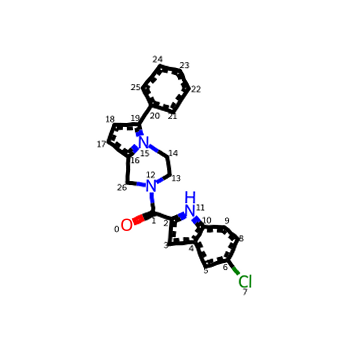 O=C(c1cc2cc(Cl)ccc2[nH]1)N1CCn2c(ccc2-c2ccccc2)C1